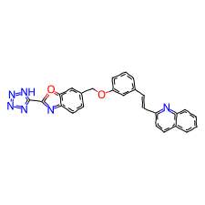 C(=Cc1ccc2ccccc2n1)c1cccc(OCc2ccc3nc(-c4nnn[nH]4)oc3c2)c1